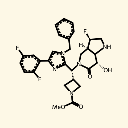 COC(=O)N1CC([C@H](c2nc(-c3cc(F)ccc3F)cn2Cc2ccccc2)N2C[C@@H]3C(NC[C@@H]3F)[C@H](O)C2=O)C1